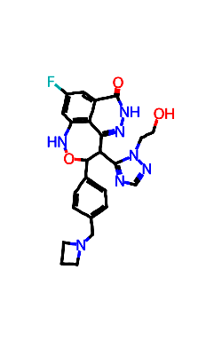 O=c1[nH]nc2c3c(cc(F)cc13)NOC(c1ccc(CN3CCC3)cc1)C2c1ncnn1CCO